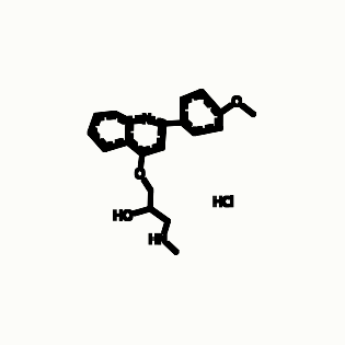 CNCC(O)COc1cc(-c2ccc(OC)cc2)nc2ccccc12.Cl